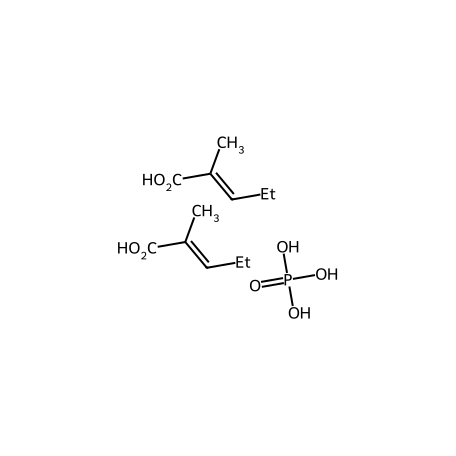 CCC=C(C)C(=O)O.CCC=C(C)C(=O)O.O=P(O)(O)O